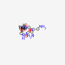 NCc1cccc(C2CCN(C(=O)c3cccc(NC(=O)[C@@H]4C[C@@H]5CC[C@H]4[C@@H]4OB(c6cccc7[nH]c(C(=O)N8CCC9(CC8)COc8ccc(CN)cc89)cc67)O[C@H]54)c3)CC2)c1